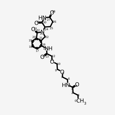 CCCC(=O)NCCOCCOCC(=O)Nc1cccc2c1CN(C1CCC(=O)NC1=O)C2=O